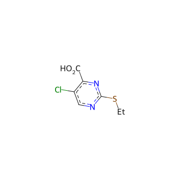 CCSc1ncc(Cl)c(C(=O)O)n1